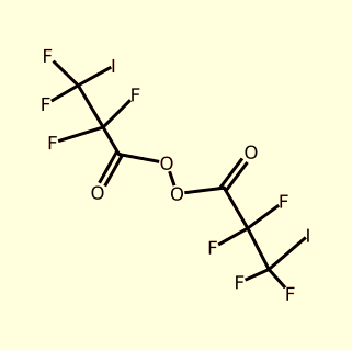 O=C(OOC(=O)C(F)(F)C(F)(F)I)C(F)(F)C(F)(F)I